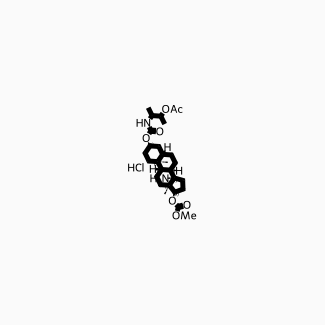 COC(=O)O[C@H]1CC[C@]2(N)[C@@H]3CC[C@@H]4C[C@@H](OC(=O)NC(C)C(C)OC(C)=O)CC[C@]4(C)[C@H]3CC[C@]12C.Cl